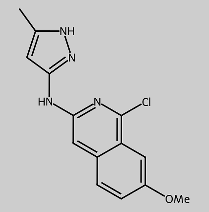 COc1ccc2cc(Nc3cc(C)[nH]n3)nc(Cl)c2c1